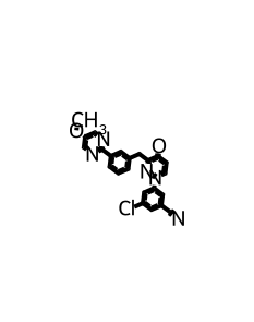 COc1cnc(-c2cccc(Cc3nn(-c4cc(Cl)cc(C#N)c4)ccc3=O)c2)nc1